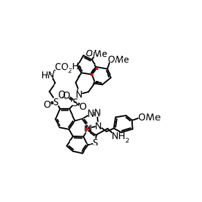 COc1ccc(CN(Cc2ccc(OC)cc2)S(=O)(=O)c2c(S(=O)(=O)CCNC(=O)O)ccc(-c3cccc4sc(CN)nc34)c2-c2nnn(Cc3ccc(OC)cc3)n2)cc1